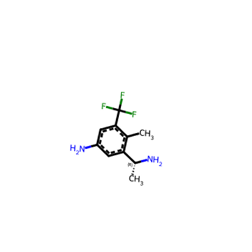 Cc1c([C@@H](C)N)cc(N)cc1C(F)(F)F